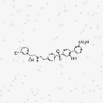 O=C(O)c1cccc(-c2ccc(S(=O)(=O)c3ccc(CCNCC(O)c4cccc(Cl)c4)cc3)cc2O)c1